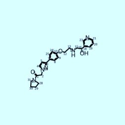 O=C(Cn1ccc(-c2ccc(OCCNC[C@H](O)c3cccnc3)cc2)n1)N1CCCC1